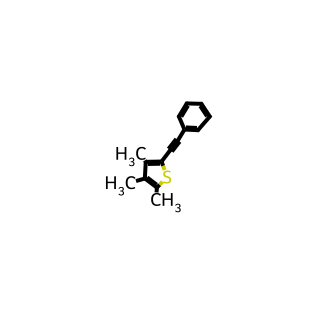 Cc1sc(C#Cc2ccccc2)c(C)c1C